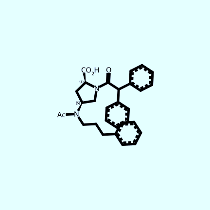 CC(=O)N(CCCc1ccccc1)[C@H]1C[C@@H](C(=O)O)N(C(=O)C(c2ccccc2)c2ccccc2)C1